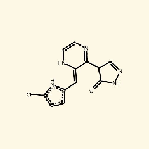 O=C1NN=CC1C1=NC=CNC1=Cc1ccc(Cl)[nH]1